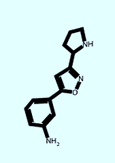 Nc1cccc(-c2cc(C3CCCN3)no2)c1